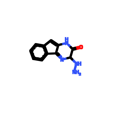 NNC1N=C2C(=Cc3ccccc32)NC1=O